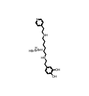 Br.Br.Br.Oc1ccc(CCNCCCCCCNCCc2ccncc2)cc1O